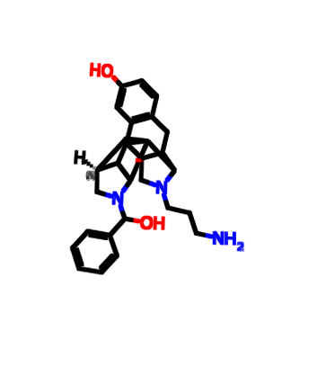 NCCCN1CC2C3Cc4ccc(O)cc4C24C2C5CCC4(C[C@@H]2CN5C(O)c2ccccc2)C31